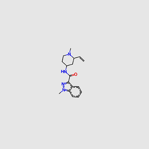 C=CC1CC(NC(=O)c2nn(C)c3ccccc23)CCN1C